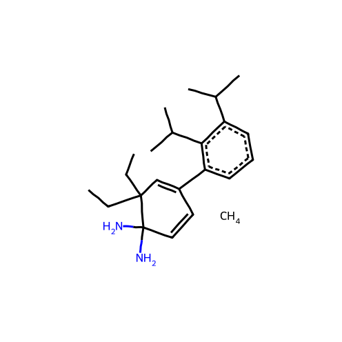 C.CCC1(CC)C=C(c2cccc(C(C)C)c2C(C)C)C=CC1(N)N